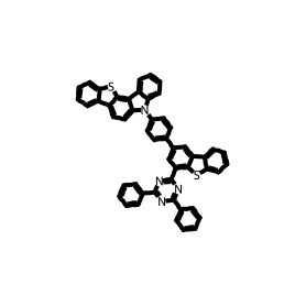 c1ccc(-c2nc(-c3ccccc3)nc(-c3cc(-c4ccc(-n5c6ccccc6c6c7sc8ccccc8c7ccc65)cc4)cc4c3sc3ccccc34)n2)cc1